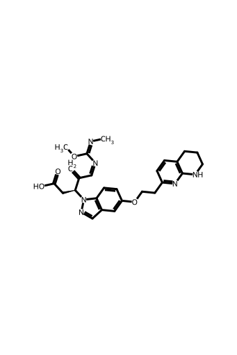 C=C(/C=N\C(=N/C)OC)[C@H](CC(=O)O)n1ncc2cc(OCCc3ccc4c(n3)NCCC4)ccc21